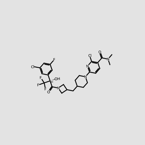 CN(C)C(=O)c1ccc(N2CCC(CC3CN(C(=O)[C@](O)(c4cc(F)cc(Cl)c4)C(F)(F)F)C3)CC2)nc1Cl